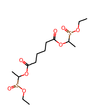 CCOS(=O)C(C)OC(=O)CCCCC(=O)OC(C)S(=O)OCC